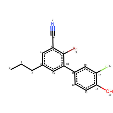 CCCc1cc(C#N)c(Br)c(-c2ccc(O)c(F)c2)c1